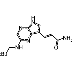 CC(C)(C)CNc1cnc2[nH]cc(/C=C/C(N)=O)c2n1